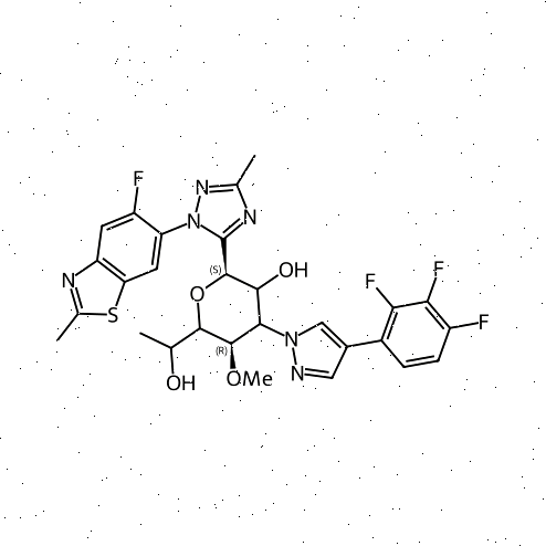 CO[C@H]1C(C(C)O)O[C@@H](c2nc(C)nn2-c2cc3sc(C)nc3cc2F)C(O)C1n1cc(-c2ccc(F)c(F)c2F)cn1